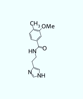 COc1cc(C(=O)NCCc2c[nH]cn2)ccc1C